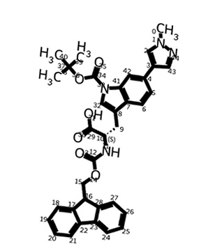 Cn1cc(-c2ccc3c(C[C@H](NC(=O)OCC4c5ccccc5-c5ccccc54)C(=O)O)cn(C(=O)OC(C)(C)C)c3c2)cn1